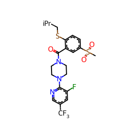 CC(C)CSc1ccc(S(C)(=O)=O)cc1C(=O)N1CCN(c2ncc(C(F)(F)F)cc2F)CC1